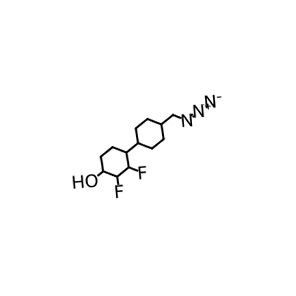 [N-]=[N+]=NCC1CCC(C2CCC(O)C(F)C2F)CC1